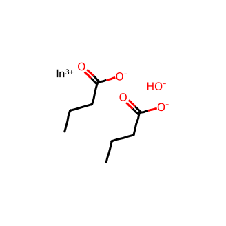 CCCC(=O)[O-].CCCC(=O)[O-].[In+3].[OH-]